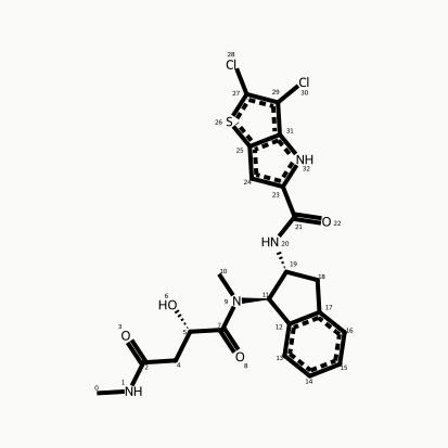 CNC(=O)C[C@H](O)C(=O)N(C)[C@@H]1c2ccccc2C[C@H]1NC(=O)c1cc2sc(Cl)c(Cl)c2[nH]1